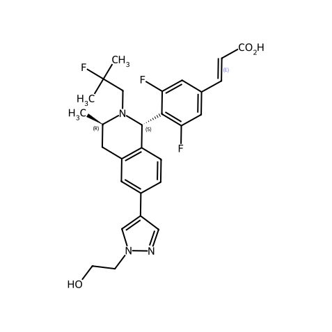 C[C@@H]1Cc2cc(-c3cnn(CCO)c3)ccc2[C@@H](c2c(F)cc(/C=C/C(=O)O)cc2F)N1CC(C)(C)F